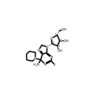 NC1(N2CCCCC2)N=C(F)N=C2C1=NCN2[C@@H]1O[C@H](CO)[C@@H](O)[C@H]1O